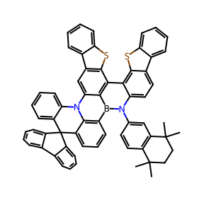 CC1(C)CCC(C)(C)c2cc(N3B4c5cccc6c5N(c5ccccc5C65c6ccccc6-c6ccccc65)c5cc6c(sc7ccccc76)c(c54)-c4c3ccc3c4sc4ccccc43)ccc21